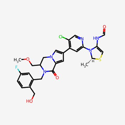 COCC1Cn2cc(-c3cc(N4C(NC=O)=CS[C@@H]4C)ncc3Cl)cc2C(=O)N1Cc1cc(F)ccc1CO